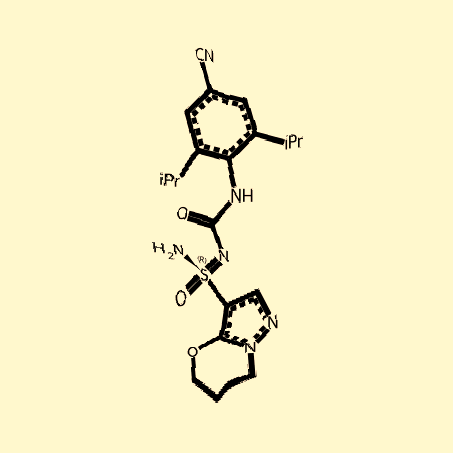 CC(C)c1cc(C#N)cc(C(C)C)c1NC(=O)N=[S@@](N)(=O)c1cnn2c1OCCC2